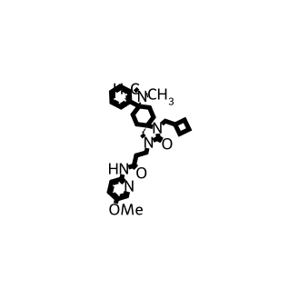 COc1ccc(NC(=O)CCN2C[C@]3(CC[C@@](c4ccccc4)(N(C)C)CC3)N(CC3CCC3)C2=O)nc1